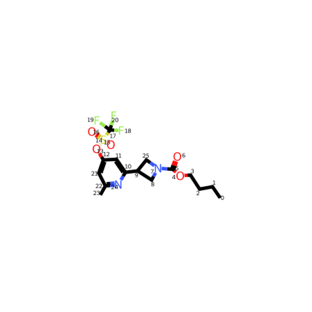 CCCCOC(=O)N1CC(c2cc(OS(=O)(=O)C(F)(F)F)cc(C)n2)C1